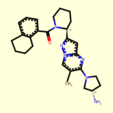 Cc1cn2nc([C@@H]3CCCCN3C(=O)c3cccc4c3CCCC4)cc2nc1N1CC[C@H](N)C1